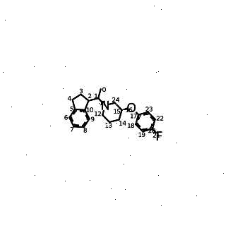 CC(C1CCc2ccccc21)N1CCC[C@H](Oc2ccc(F)cc2)C1